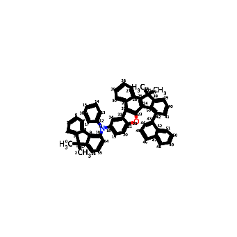 CC1(C)c2ccccc2-c2c(N(c3ccccc3)c3ccc4oc5c6c(c7ccccc7c5c4c3)C(C)(C)c3cccc(-c4cccc5ccccc45)c3-6)cccc21